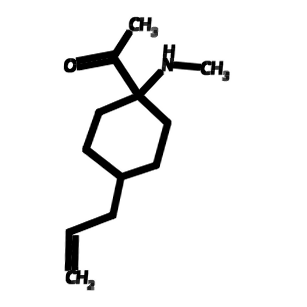 C=CCC1CCC(NC)(C(C)=O)CC1